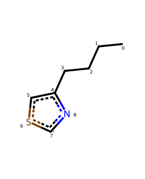 CCCCc1cs[c]n1